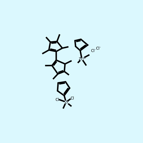 CC1=C(C)C(C)C(C2=C(C)C(C)=C(C)C2C)=C1C.[CH3][Zr+2]([CH3])([CH3])[C]1=CC=CC1.[CH3][Zr]([CH3])([Cl])([Cl])[C]1=CC=CC1.[Cl-].[Cl-]